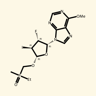 CCP(C)(=O)CO[C@H]1O[C@@H](n2cnc3c(OC)ncnc32)[C@@H](F)[C@@H]1I